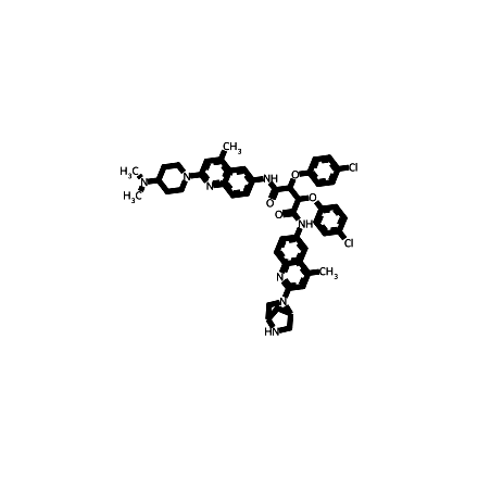 Cc1cc(N2CCC(N(C)C)CC2)nc2ccc(NC(=O)C(Oc3ccc(Cl)cc3)C(Oc3ccc(Cl)cc3)C(=O)Nc3ccc4nc(N5CC6CC5CN6)cc(C)c4c3)cc12